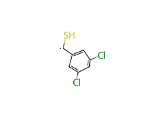 S[CH]c1cc(Cl)cc(Cl)c1